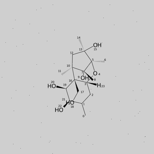 CC1C[C@H]2O[C@@]3(C)[C@](C)(O)[C@](C)(C[C@@]3(C)O)[C@@]2(CO)[C@H](O)[C@@H]1O